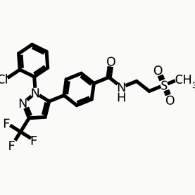 CS(=O)(=O)CCNC(=O)c1ccc(-c2cc(C(F)(F)F)nn2-c2ccccc2Cl)cc1